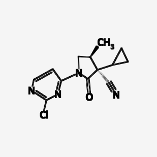 C[C@@H]1CN(c2ccnc(Cl)n2)C(=O)[C@]1(C#N)C1CC1